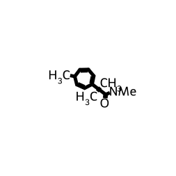 CNC(=O)C(C)(C)C1=CC=CC(C)C=C1